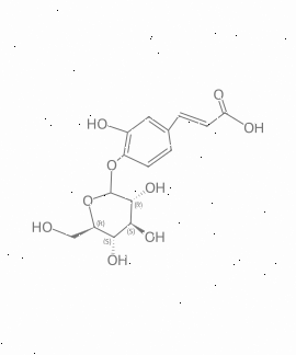 O=C(O)C=Cc1ccc(OC2O[C@H](CO)[C@@H](O)[C@H](O)[C@H]2O)c(O)c1